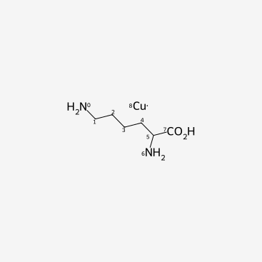 NCCCCC(N)C(=O)O.[Cu]